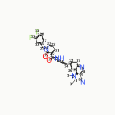 CCN(C)c1c(C#N)cnc2ccc(C#CCNC(=O)c3cccn(Cc4ccc(F)c(F)c4)c3=O)cc12